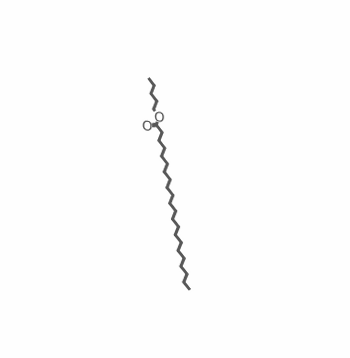 CCCCCCCCCCCCCCCCCCCCCC(=O)OCCCCC